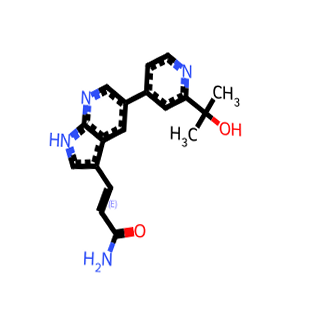 CC(C)(O)c1cc(-c2cnc3[nH]cc(/C=C/C(N)=O)c3c2)ccn1